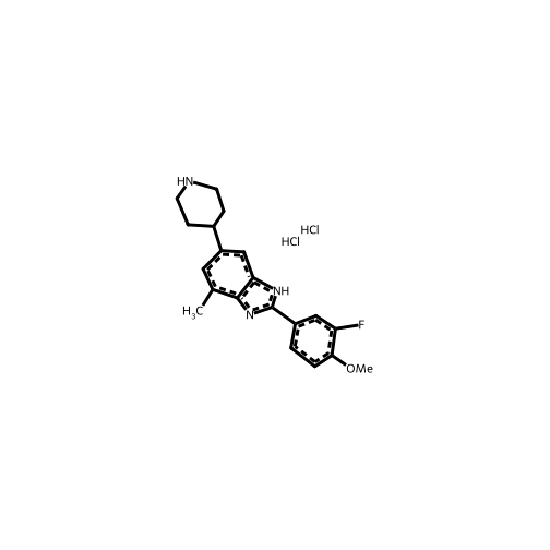 COc1ccc(-c2nc3c(C)cc(C4CCNCC4)cc3[nH]2)cc1F.Cl.Cl